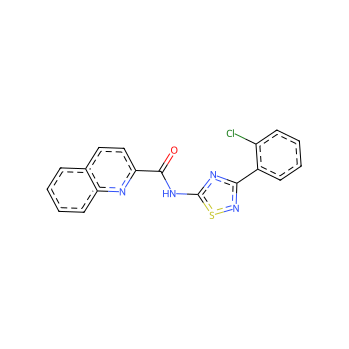 O=C(Nc1nc(-c2ccccc2Cl)ns1)c1ccc2ccccc2n1